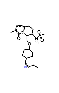 CC/C=C\C1CCC(OCC2C(NS(C)(=O)=O)CCc3ccc(C)c(=O)n32)CC1